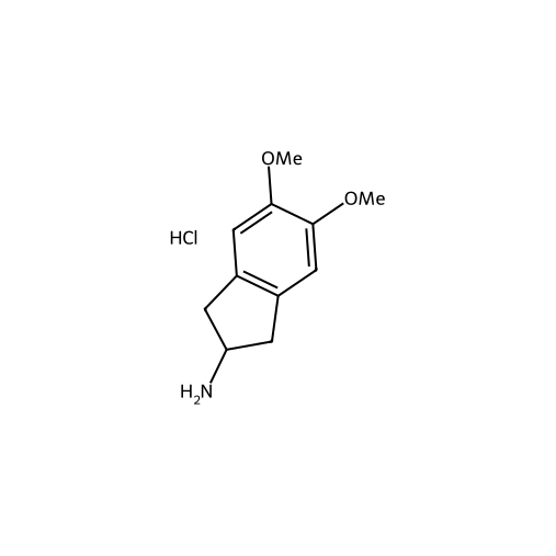 COc1cc2c(cc1OC)CC(N)C2.Cl